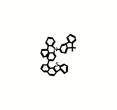 CC1(C)c2ccccc2-c2cc(N(c3ccc(-c4cccc5ccc6c7ccccc7sc6c45)cc3)c3ccccc3-c3ccccc3)ccc21